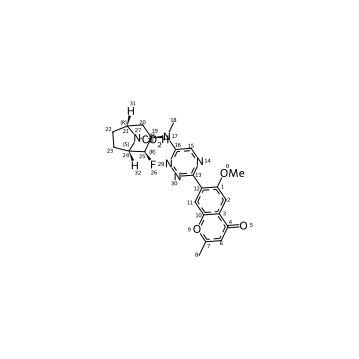 COc1cc2c(=O)cc(C)oc2cc1-c1ncc(N(C)[C@@H]2C[C@H]3CC[C@@H]([C@@H]2F)N3C(=O)O)nn1